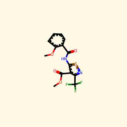 COC(=O)c1c(C(F)(F)F)nsc1NC(=O)c1ccccc1OC